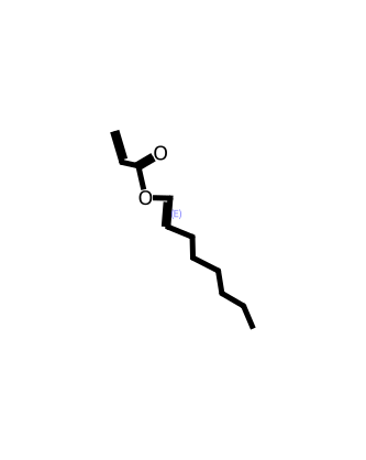 C=CC(=O)O/C=C/CCCCCC